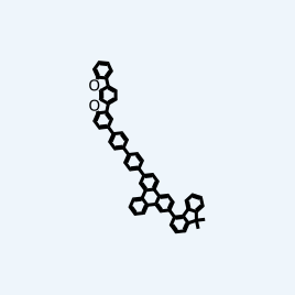 CC1(C)c2ccccc2-c2c(-c3ccc4c5ccc(-c6ccc(-c7ccc(-c8ccc9oc%10c(ccc%11c%12ccccc%12oc%11%10)c9c8)cc7)cc6)cc5c5ccccc5c4c3)cccc21